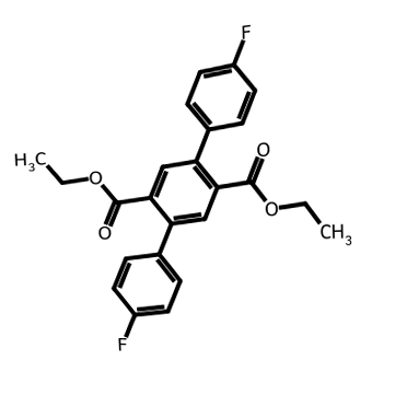 CCOC(=O)c1cc(-c2ccc(F)cc2)c(C(=O)OCC)cc1-c1ccc(F)cc1